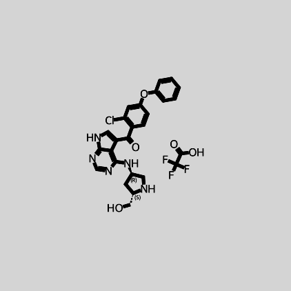 O=C(O)C(F)(F)F.O=C(c1ccc(Oc2ccccc2)cc1Cl)c1c[nH]c2ncnc(N[C@H]3CN[C@H](CO)C3)c12